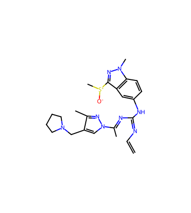 C=C/N=C(\N=C(/C)n1cc(CN2CCCC2)c(C)n1)Nc1ccc2c(c1)c([S+](C)[O-])nn2C